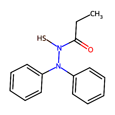 CCC(=O)N(S)N(c1ccccc1)c1ccccc1